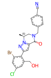 C[C@H]1CN(Cc2ccc(C#N)cc2)C(=O)c2cc(-c3c(Br)cc(Cl)cc3CO)nn21